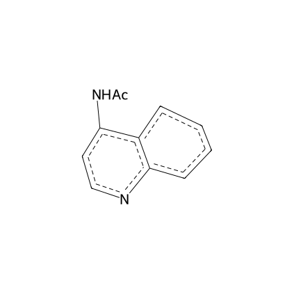 CC(=O)Nc1ccnc2ccccc12